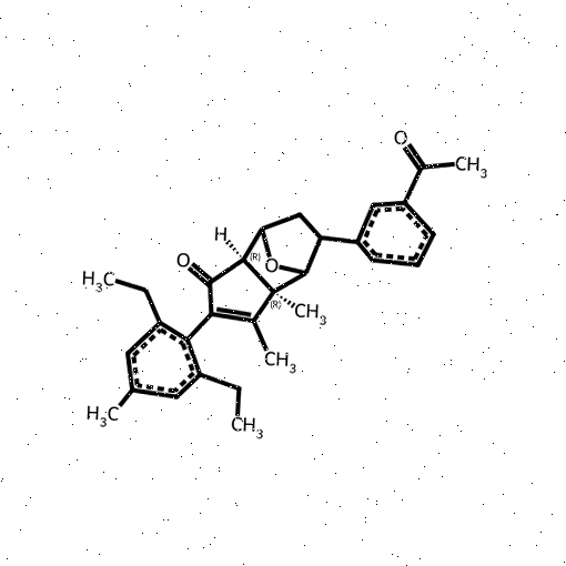 CCc1cc(C)cc(CC)c1C1=C(C)[C@]2(C)C3OC(CC3c3cccc(C(C)=O)c3)[C@@H]2C1=O